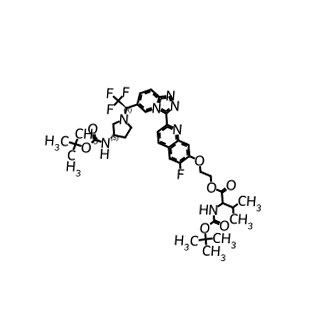 CC(C)C(NC(=O)OC(C)(C)C)C(=O)OCCOc1cc2nc(-c3nnc4ccc([C@@H](N5CC[C@H](NC(=O)OC(C)(C)C)C5)C(F)(F)F)cn34)ccc2cc1F